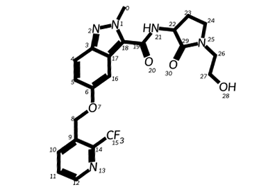 Cn1nc2ccc(OCc3cccnc3C(F)(F)F)cc2c1C(=O)NC1CCN(CCO)C1=O